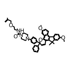 C=C(C)COCCNC(=O)N1CCN(c2ccc(C3(c4ccccc4)C=Cc4c5c(c6ccc(OC)cc6c4O3)-c3ccc(OC)cc3C5(C)C)cc2)CC1